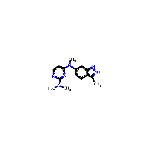 Cc1[nH]nc2cc(N(C)c3ccnc(N(C)C)n3)ccc12